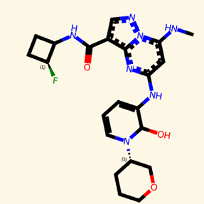 CNc1cc(NC2=CC=CN([C@H]3CCCOC3)C2O)nc2c(C(=O)NC3CC[C@@H]3F)cnn12